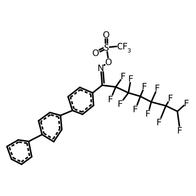 O=S(=O)(ON=C(c1ccc(-c2ccc(-c3ccccc3)cc2)cc1)C(F)(F)C(F)(F)C(F)(F)C(F)(F)C(F)(F)C(F)F)C(F)(F)F